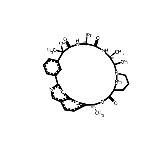 CC(C)[C@@H]1NC(=O)C(C)(C)c2cccc(c2)-c2cc3cc(ccc3cn2)[C@@H](C)OC(=O)C2CCCN(N2)C(O)[C@H](C)NC1=O